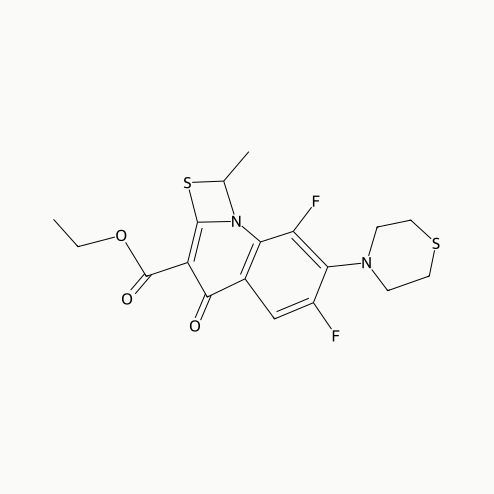 CCOC(=O)c1c2n(c3c(F)c(N4CCSCC4)c(F)cc3c1=O)C(C)S2